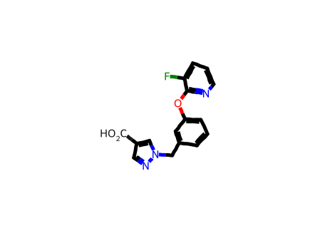 O=C(O)c1cnn(Cc2cccc(Oc3ncccc3F)c2)c1